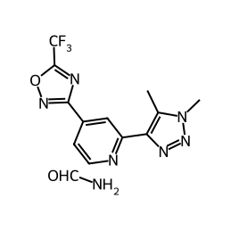 Cc1c(-c2cc(-c3noc(C(F)(F)F)n3)ccn2)nnn1C.NC=O